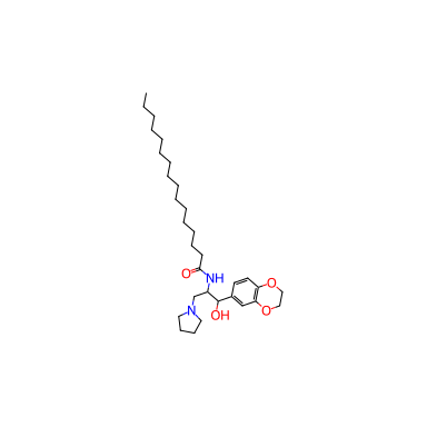 CCCCCCCCCCCCCCCC(=O)NC(CN1CCCC1)C(O)c1ccc2c(c1)OCCO2